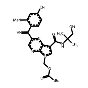 CNc1cc(C#N)ccc1C(=N)c1cnc2c(n1)c(C(=O)NC(C)(C)CO)cn2COC(=O)C(C)(C)C